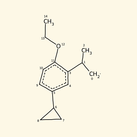 [CH2]C(C)c1cc(C2CC2)ccc1OCC